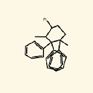 CC(C)C1CCC(C)(c2ccccc2)C(c2ccccc2)(c2ccccc2)C1C